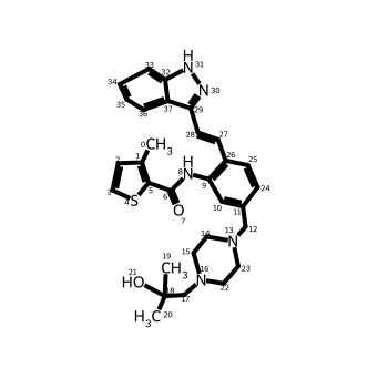 Cc1ccsc1C(=O)Nc1cc(CN2CCN(CC(C)(C)O)CC2)ccc1C=Cc1n[nH]c2ccccc12